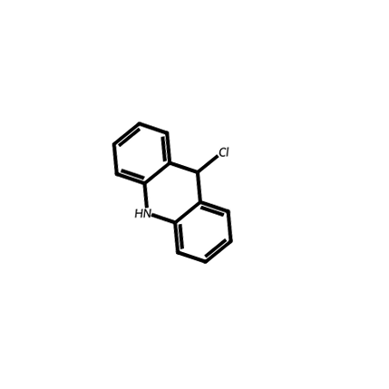 ClC1c2ccccc2Nc2ccccc21